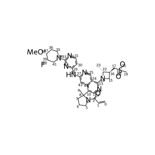 C=CC(=O)N1CCCC1(C)c1cnc(N2C[C@H](CS(C)(=O)=O)[C@H]2C)c2cnc(Nc3ccnc(N4CC[C@@H](OC)[C@@H](F)C4)n3)cc12